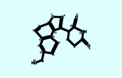 O=C1CCC(c2noc3ccc4cc(CO)ccc4c23)C(=O)N1